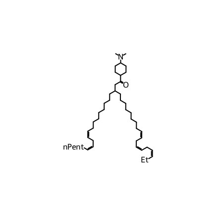 CC/C=C\C/C=C\C/C=C\CCCCCCCCC(CCCCCCCC/C=C\C/C=C\CCCCC)CC(=O)C1CCC(N(C)C)CC1